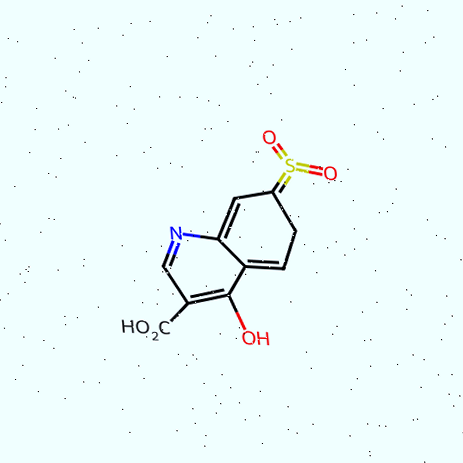 O=C(O)c1cnc2c(c1O)=CCC(=S(=O)=O)C=2